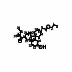 CCCOCCN1CCC(c2cccc(O)c2)(c2ncc(C(=O)N(C)CC)cn2)CC1